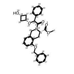 COC(=O)[C@@H]1Cc2c(cccc2OCc2ccccc2)CN1C(=O)C(O[C@H]1C[C@@H](O)C1)c1ccccc1